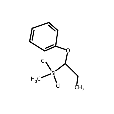 CCC(Oc1ccccc1)[Si](C)(Cl)Cl